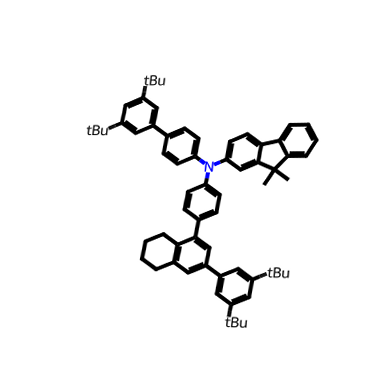 CC(C)(C)c1cc(-c2ccc(N(c3ccc(-c4cc(-c5cc(C(C)(C)C)cc(C(C)(C)C)c5)cc5c4CCCC5)cc3)c3ccc4c(c3)C(C)(C)c3ccccc3-4)cc2)cc(C(C)(C)C)c1